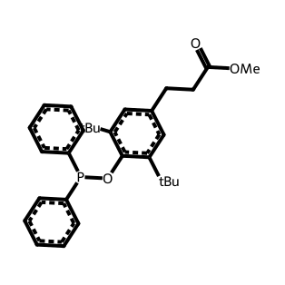 COC(=O)CCc1cc(C(C)(C)C)c(OP(c2ccccc2)c2ccccc2)c(C(C)(C)C)c1